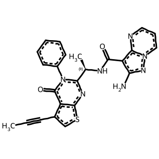 CC#Cc1csc2nc([C@@H](C)NC(=O)c3c(N)nn4cccnc34)n(-c3ccccc3)c(=O)c12